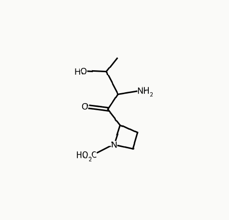 CC(O)C(N)C(=O)C1CCN1C(=O)O